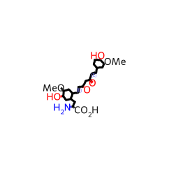 COC1CC(/C=C/C(=O)CC(=O)/C=C/C2CC(OC)C(O)CC2CC(N)C(=O)O)CCC1O